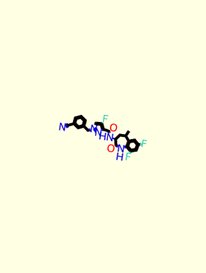 CC1C[C@H](NC(=O)c2nn(Cc3cccc(C#N)c3)cc2F)C(=O)Nc2c(F)cc(F)cc21